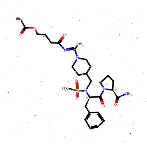 CC(C)(C)C(=O)OCCCC(=O)N=C(N)N1CCC(CN([C@H](Cc2ccccc2)C(=O)N2CCC[C@H]2C(N)=O)S(C)(=O)=O)CC1